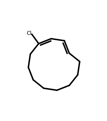 Cl/C1=C/C=C/CCCCCCCC1